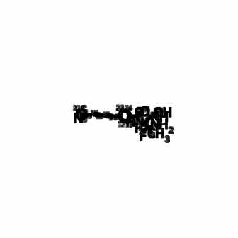 CC(N)(C(F)F)[C@H](NC(=O)c1ccc(C#CC#Cc2cncs2)cc1)C(=O)NO